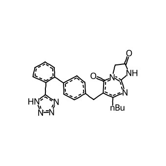 CCCCc1nc2n(c(=O)c1Cc1ccc(-c3ccccc3-c3nnn[nH]3)cc1)CC(=O)N2